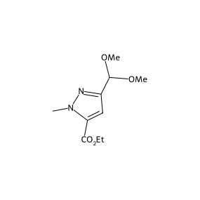 CCOC(=O)c1cc(C(OC)OC)nn1C